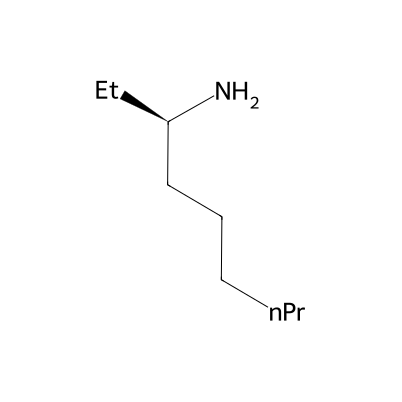 CCCCCC[C@H](N)CC